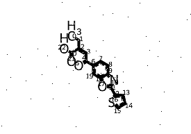 CCC(=CC(=O)c1ccc2nc(-c3cccs3)oc2c1)C(=O)O